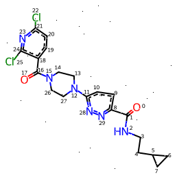 O=C(NCCC1CC1)c1ccc(N2CCN(C(=O)c3ccc(Cl)nc3Cl)CC2)nn1